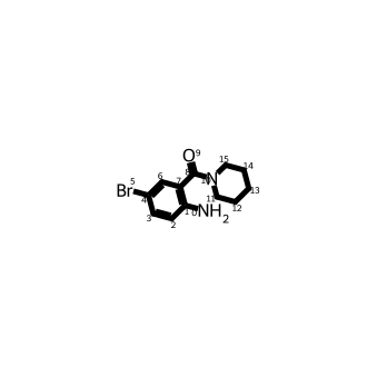 Nc1ccc(Br)cc1C(=O)N1CCCCC1